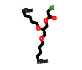 CCCCCCCCCCCCCCOCC(COC(=O)CCl)OCCCCCCCCCCCCCC